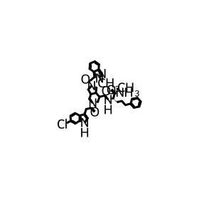 CNC(=O)[C@H](CCCc1ccccc1)NC(=O)C1CN(C(=O)Cc2c[nH]c3cc(Cl)ccc23)CC2CN(C(=O)c3c4ccccc4nn3C)CC21